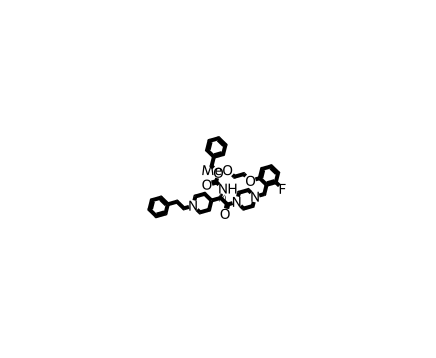 COCCOc1cccc(F)c1CN1CCN(C(=O)[C@H](NC(=O)OCc2ccccc2)C2CCN(CCc3ccccc3)CC2)CC1